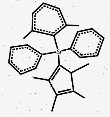 CC1=C(C)C(C)C([Si](c2ccccc2)(c2ccccc2)c2c(C)cccc2C)=C1C